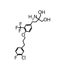 NC(CO)(CO)CCc1ccc(OCCCc2ccc(F)c(Cl)c2)c(C(F)(F)F)c1